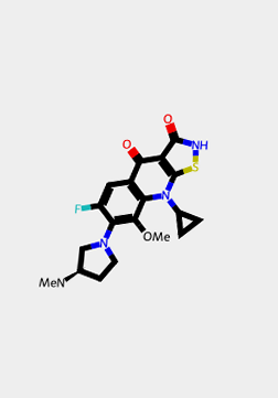 CN[C@@H]1CCN(c2c(F)cc3c(=O)c4c(=O)[nH]sc4n(C4CC4)c3c2OC)C1